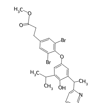 COC(=O)CCc1cc(Br)c(Oc2cc(C(C)C)c(O)c(C(C)c3ccccn3)c2)c(Br)c1